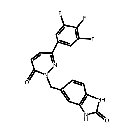 O=c1[nH]c2ccc(Cn3nc(-c4cc(F)c(F)c(F)c4)ccc3=O)cc2[nH]1